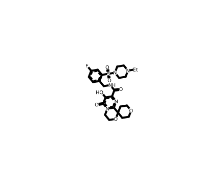 CCN1CCN(S(=O)(=O)c2cc(F)ccc2CNC(=O)c2nc3n(c(=O)c2O)CCOC32CCOCC2)CC1